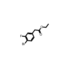 CCOC(=O)Cc1ccc(Br)c(F)c1